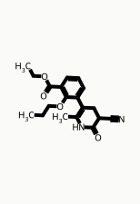 CCCOc1c(C(=O)OCC)cccc1C1=C(C)NC(=O)C(C#N)C1